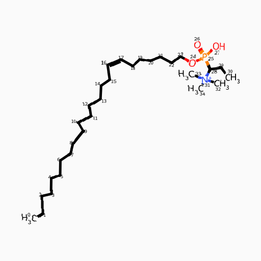 CCCCCCCCCCCCCCCC/C=C\CCCCCCOP(=O)(O)C(CC)[N+](C)(C)C